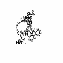 Cc1cc(C(=O)N[C@H]2CCCCCC=C[C@H]3C[C@@]3(C(=O)NS(=O)(=O)C3CC3)NC(=O)[C@@H]3C[C@@H](Oc4nc5ccccc5c5ccccc45)CN3C2=O)n[nH]1